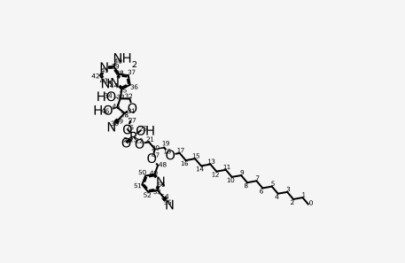 CCCCCCCCCCCCCCCCCCOC[C@H](COP(=O)(O)OC[C@@]1(C#N)OC[C@](O)(c2ccc3c(N)ncnn23)[C@@H]1O)OCc1cccc(C#N)n1